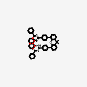 CC1(C)c2cccc(-c3ccc(-c4nc(-c5ccccc5)nc(-c5ccccc5)n4)cc3)c2Oc2c(-c3ccc(C4N=C(c5ccccc5)N=C(c5ccccc5)N4)cc3)cccc21